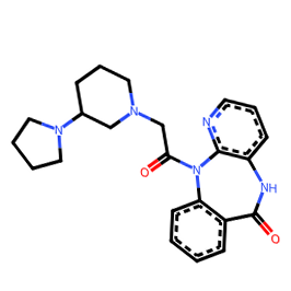 O=C1Nc2cccnc2N(C(=O)CN2CCCC(N3CCCC3)C2)c2ccccc21